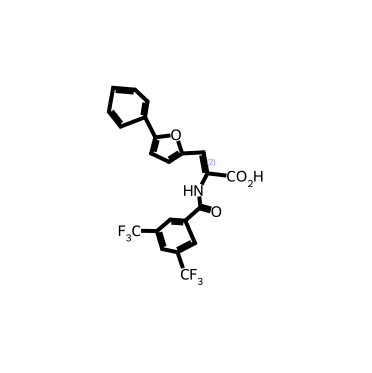 O=C(O)/C(=C/c1ccc(-c2ccccc2)o1)NC(=O)c1cc(C(F)(F)F)cc(C(F)(F)F)c1